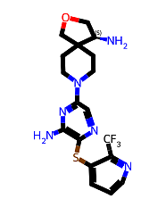 Nc1nc(N2CCC3(CC2)COC[C@H]3N)cnc1Sc1cccnc1C(F)(F)F